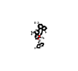 CC(C)[Si](C#Cc1c(F)ccc2cc(O)cc(-c3cc4nc(OC[C@@]56CCCN5C[C@H](F)C6)ncc4c(N(C)C)n3)c12)(C(C)C)C(C)C